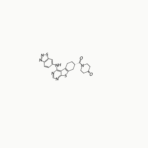 O=C1CCN(C(=O)[C@H]2CCc3c(sc4ncnc(Nc5ccc6nnsc6c5)c34)C2)CC1